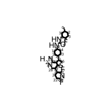 Cc1ccc(F)c(NC(=O)Nc2ccc(-c3csc4c(-c5ccc(F)nc5F)cnc(N)c34)cc2)c1